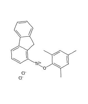 Cc1cc(C)c([O][Ti+2][c]2cccc3c2Cc2ccccc2-3)c(C)c1.[Cl-].[Cl-]